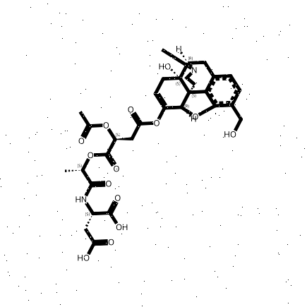 CC(=O)O[C@@H](CC(=O)OC1=CC[C@@]2(O)[C@H]3Cc4ccc(CO)c5c4[C@@]2(CCN3C)[C@H]1O5)C(=O)O[C@@H](C)C(=O)N[C@@H](CC(=O)O)C(=O)O